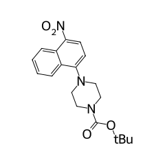 CC(C)(C)OC(=O)N1CCN(c2ccc([N+](=O)[O-])c3ccccc23)CC1